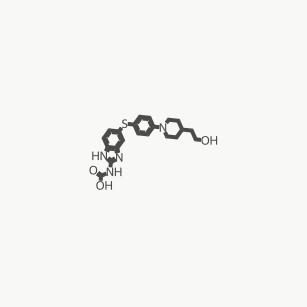 O=C(O)Nc1nc2cc(Sc3ccc(N4CCC(CCO)CC4)cc3)ccc2[nH]1